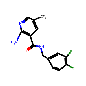 Nc1ncc(C(F)(F)F)cc1C(=O)NCc1ccc(F)c(F)c1